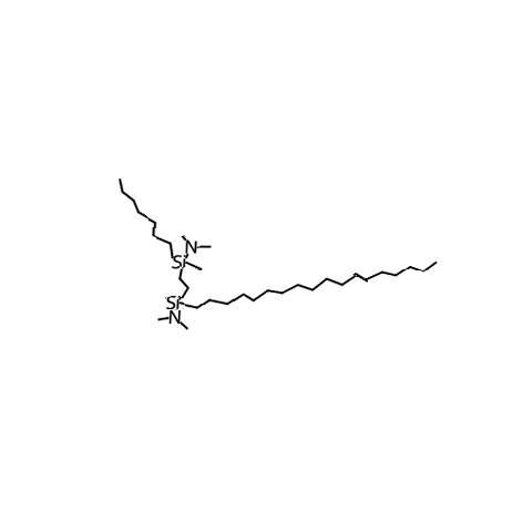 CCCCCCCCCCCCCCCCCC[Si](C)(CC[Si](C)(CCCCCCCC)N(C)C)N(C)C